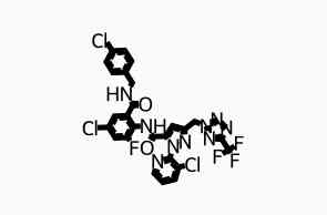 O=C(NCc1ccc(Cl)cc1)c1cc(Cl)cc(F)c1NC(=O)c1cc(Cn2nnc(C(F)(F)F)n2)nn1-c1ncccc1Cl